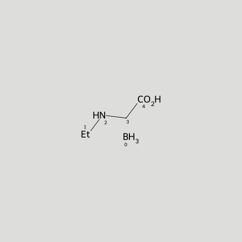 B.CCNCC(=O)O